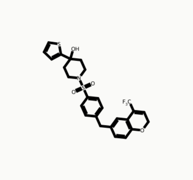 O=S(=O)(c1ccc(Cc2ccc3c(c2)C(C(F)(F)F)=CCO3)cc1)N1CCC(O)(c2cccs2)CC1